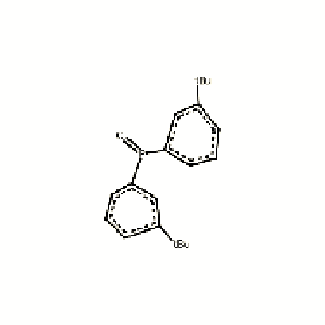 CC(C)(C)c1cccc([P](=O)c2cccc(C(C)(C)C)c2)c1